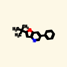 C[Si](C)(C)c1cc2ncc(-c3ccccc3)cc2o1